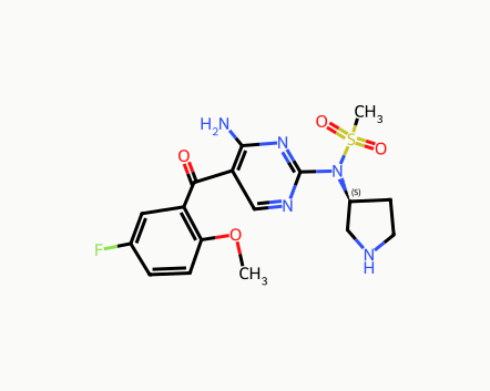 COc1ccc(F)cc1C(=O)c1cnc(N([C@H]2CCNC2)S(C)(=O)=O)nc1N